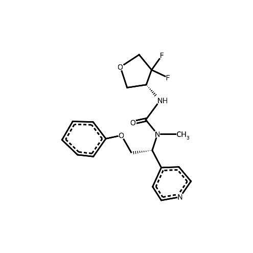 CN(C(=O)N[C@@H]1COCC1(F)F)[C@@H](COc1ccccc1)c1ccncc1